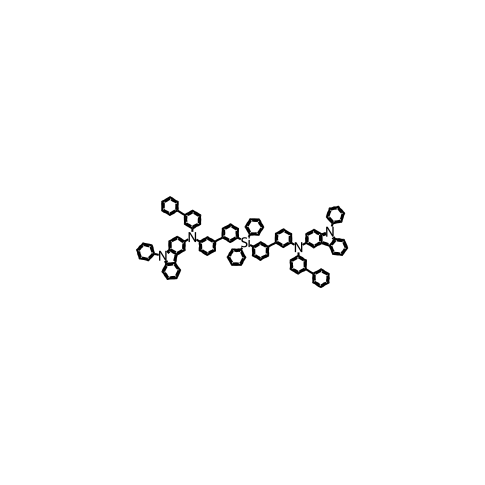 c1ccc(-c2cccc(N(c3cccc(-c4cccc([Si](c5ccccc5)(c5ccccc5)c5cccc(-c6cccc(N(c7cccc(-c8ccccc8)c7)c7ccc8c(c7)c7ccccc7n8-c7ccccc7)c6)c5)c4)c3)c3ccc4c(c3)c3ccccc3n4-c3ccccc3)c2)cc1